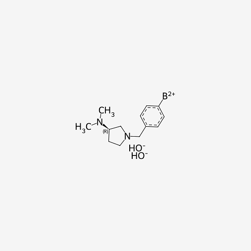 [B+2]c1ccc(CN2CC[C@@H](N(C)C)C2)cc1.[OH-].[OH-]